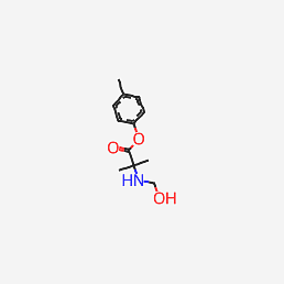 Cc1ccc(OC(=O)C(C)(C)NCO)cc1